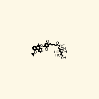 CCCN(C[C@H](O)[C@@H](O)[C@H](O)[C@H](O)CO)C(=O)CCCCc1cc(Cl)c(COC2(c3cnccc3-c3ccccc3OC3CC3)CC2)cc1Cl